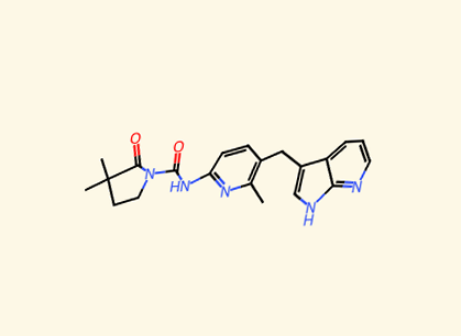 Cc1nc(NC(=O)N2CCC(C)(C)C2=O)ccc1Cc1c[nH]c2ncccc12